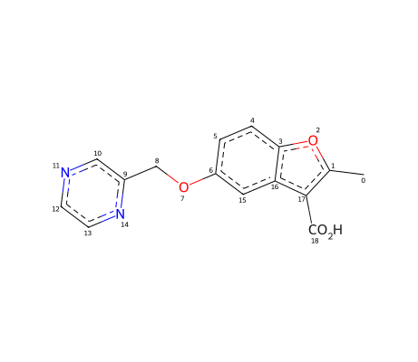 Cc1oc2ccc(OCc3cnccn3)cc2c1C(=O)O